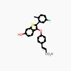 Cc1ccc(F)cc1-c1sc2cc(O)ccc2c1Oc1ccc(/C=C/C(=O)O)cc1